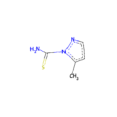 Cc1ccnn1C(N)=S